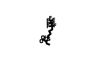 CCC(SCCCCC(F)(F)C(F)(F)C(F)(F)F)C(=O)O